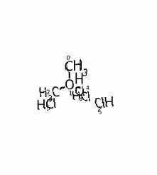 COC.Cl.Cl.Cl.Cl